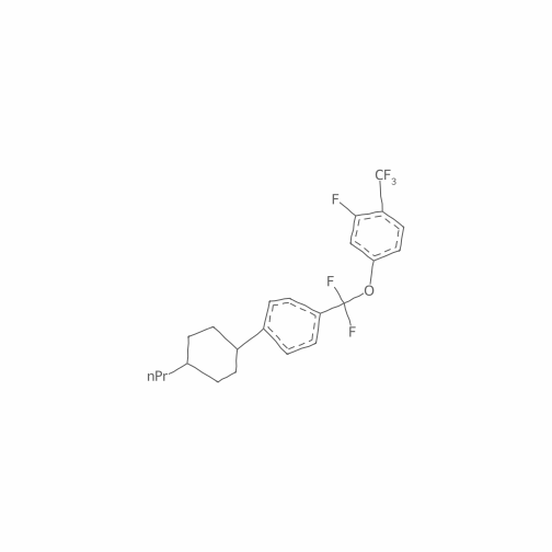 CCCC1CCC(c2ccc(C(F)(F)Oc3ccc(C(F)(F)F)c(F)c3)cc2)CC1